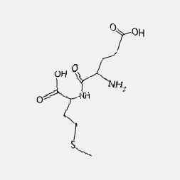 CSCCC(NC(=O)C(N)CCC(=O)O)C(=O)O